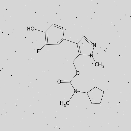 CN(C(=O)OCc1c(-c2ccc(O)c(F)c2)cnn1C)C1CCCC1